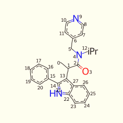 CC(C(=O)N(Cc1ccncc1)C(C)C)c1c(-c2ccccc2)[nH]c2ccccc12